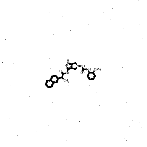 COc1ccccc1NC(=O)NN1Cc2[nH]nc(NC(=O)C(C)c3ccc4ccccc4c3)c2C1